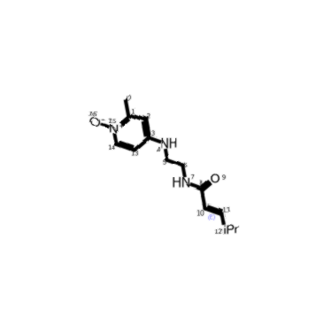 Cc1cc(NCCNC(=O)/C=C/C(C)C)cc[n+]1[O-]